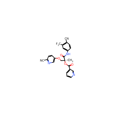 C[C@@](COc1ccc(C#N)nc1)(OC(=O)c1cccnc1)C(=O)Nc1ccc(C#N)c(C(F)(F)F)c1